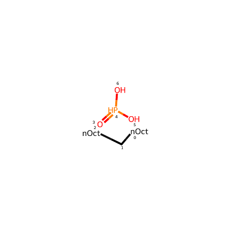 CCCCCCCCCCCCCCCCC.O=[PH](O)O